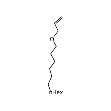 [CH2]CCCCCCCCCCCOCC=C